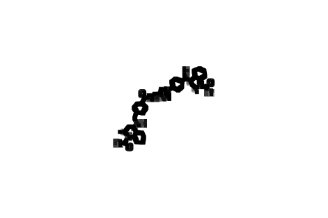 CCC(=O)N1c2ccccc2[C@H](NCc2ccc(C(=O)NCc3cn(-c4ccc(N[C@@H]5C[C@H](C)N(C(=O)CC)c6ccccc65)cc4)nn3)cc2)C[C@@H]1C